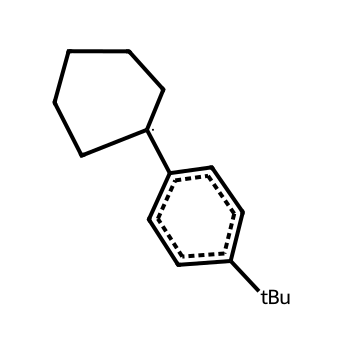 CC(C)(C)c1ccc([C]2CCCCC2)cc1